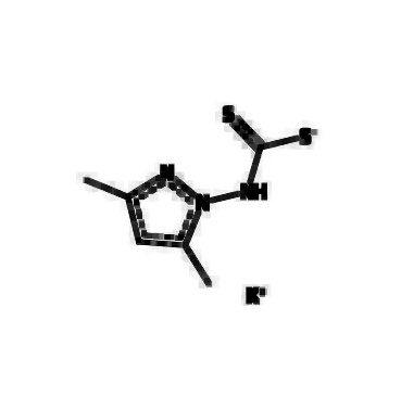 Cc1cc(C)n(NC(=S)[S-])n1.[K+]